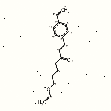 C=COCCCCC(=O)CCc1ccc(C=C)cc1